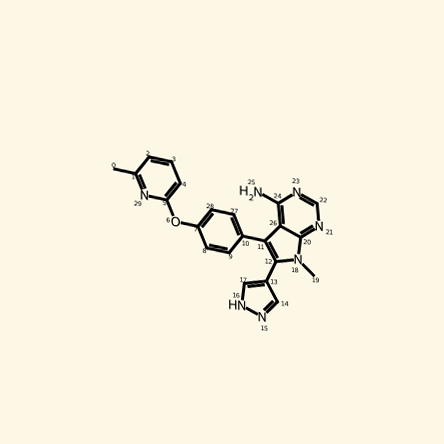 Cc1cccc(Oc2ccc(-c3c(-c4cn[nH]c4)n(C)c4ncnc(N)c34)cc2)n1